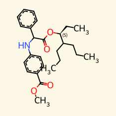 CCCC(CCC)[C@H](CC)OC(=O)C(Nc1ccc(C(=O)OC)cc1)c1ccccc1